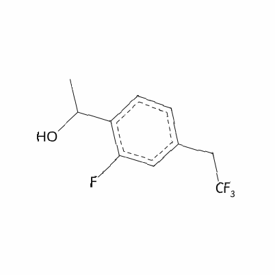 CC(O)c1ccc(CC(F)(F)F)cc1F